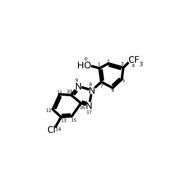 Oc1cc(C(F)(F)F)ccc1-n1nc2ccc(Cl)cc2n1